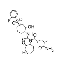 CC(C[CH]C(=O)N(C(=O)NC1CCCN(S(=O)(=O)c2ccccc2F)C[C@@H]1O)C1CCCNCC1=O)C(N)=O